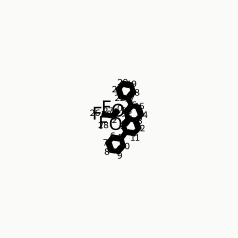 O=C(Oc1c(-c2ccccc2)ccc2ccc(-c3ccccc3)cc12)C(F)(F)F